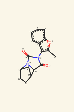 Cc1oc2ccccc2c1N1C(=O)C2C3CCC(C3)N2C1=O